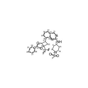 CS(=O)(=O)N1CCC(Nc2ncc3cccc(C4CC(OC(=O)c5ccccc5)(C(F)F)C4)c3n2)CC1